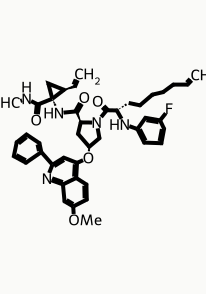 C=CCCCCC[C@H](Nc1cccc(F)c1)C(=O)N1C[C@H](Oc2cc(-c3ccccc3)nc3cc(OC)ccc23)C[C@H]1C(=O)N[C@]1(C(=O)NC=O)C[C@H]1C=C